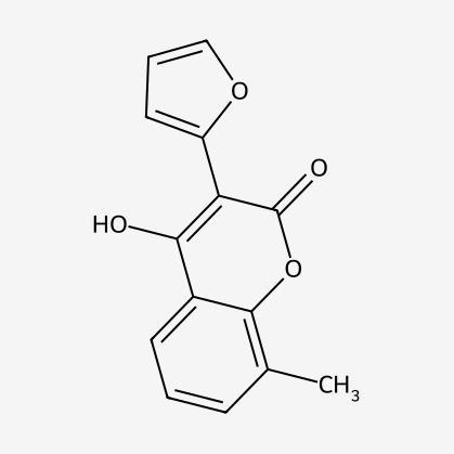 Cc1cccc2c(O)c(-c3ccco3)c(=O)oc12